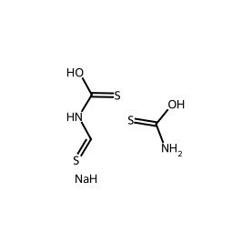 NC(O)=S.OC(=S)NC=S.[NaH]